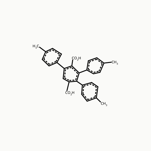 Cc1ccc(-c2cc(C(=O)O)c(-c3ccc(C)cc3)c(-c3ccc(C)cc3)c2C(=O)O)cc1